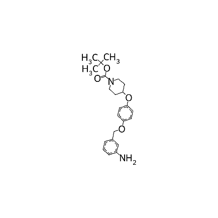 CC(C)(C)OC(=O)N1CCC(Oc2ccc(OCc3cccc(N)c3)cc2)CC1